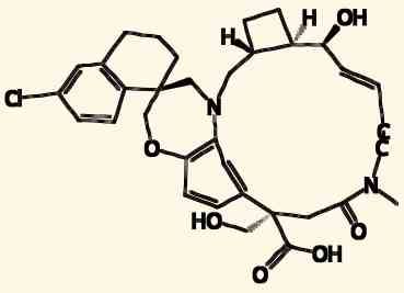 CN1CC/C=C/[C@H](O)[C@@H]2CC[C@H]2CN2C[C@@]3(CCCc4cc(Cl)ccc43)COc3ccc(cc32)[C@](CO)(C(=O)O)CC1=O